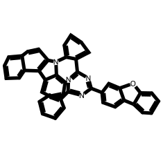 c1ccc(-c2nc(-c3ccc4c(c3)oc3ccccc34)nc(-c3ccccc3-n3c4ccccc4c4c5ccccc5ccc43)n2)cc1